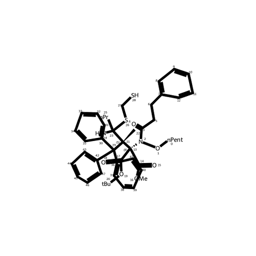 CCCCCON(C(=O)CCc1ccccc1)[C@](C(=O)OC)(C(=O)OC(C)(C)C)[C@@](C)(C(N)(CCC)SCS)C(c1ccccc1)(c1ccccc1)c1ccccc1